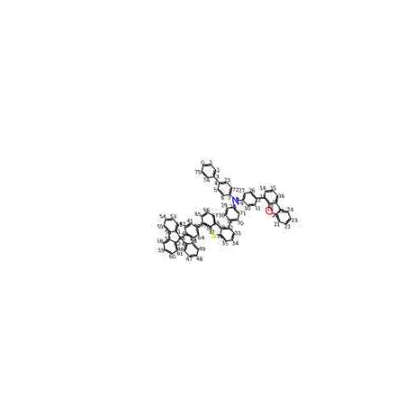 c1ccc(-c2ccc(N(c3ccc(-c4cccc5c4oc4ccccc45)cc3)c3ccc(-c4cccc5sc6c(-c7ccc(C8(c9ccccc9)c9ccccc9-c9ccccc98)cc7)cccc6c45)cc3)cc2)cc1